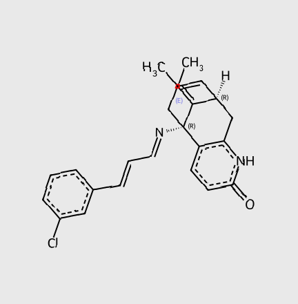 C/C=C1\[C@H]2C=C(C)C[C@]1(N=CC=Cc1cccc(Cl)c1)c1ccc(=O)[nH]c1C2